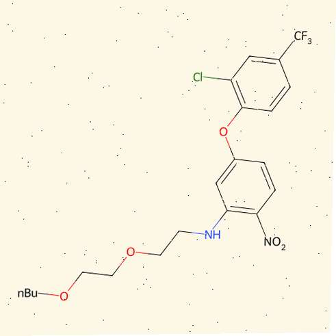 CCCCOCCOCCNc1cc(Oc2ccc(C(F)(F)F)cc2Cl)ccc1[N+](=O)[O-]